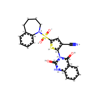 N#Cc1cc(S(=O)(=O)N2CCCCc3ccccc32)sc1-n1c(=O)[nH]c2ccccc2c1=O